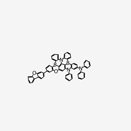 c1ccc(N(c2ccccc2)c2ccc3c(c2)N(c2ccccc2)c2cc4c5c6c2B3c2ccccc2N6c2ccccc2B5c2ccc(-c3ccc5c(c3)oc3ccccc35)cc2O4)cc1